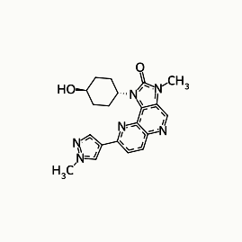 Cn1cc(-c2ccc3ncc4c(c3n2)n([C@H]2CC[C@H](O)CC2)c(=O)n4C)cn1